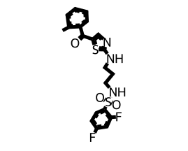 Cc1ccccc1C(=O)c1cnc(NCCCNS(=O)(=O)c2ccc(F)cc2F)s1